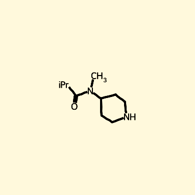 CC(C)C(=O)N(C)C1CCNCC1